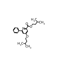 CC(C)CCOC(=O)c1cc(OCCC(C)C)cc(-c2ccccc2)n1